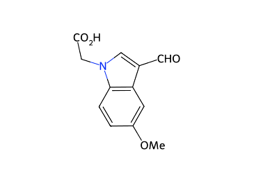 COc1ccc2c(c1)c(C=O)cn2CC(=O)O